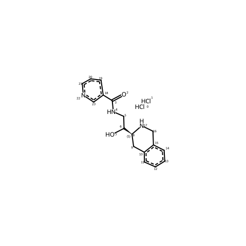 Cl.Cl.O=C(NCC(O)[C@@H]1Cc2ccccc2CN1)c1cccnc1